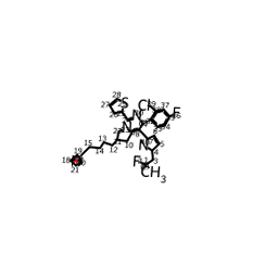 C[C@@H](F)CC1C=CC(C2=C3CC(CCCCN4CC5CC4C5)CN3C(C3CC=CS3)=N[C@H]2c2ccc(F)cc2Cl)=N1